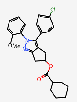 COc1ccccc1-n1nc2c(c1-c1ccc(Cl)cc1)CC(OC(=O)C1CCCCC1)C2